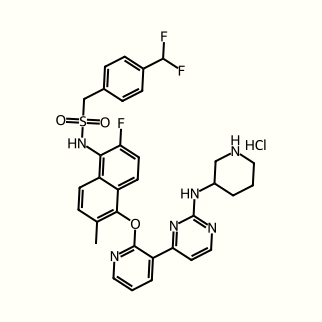 Cc1ccc2c(NS(=O)(=O)Cc3ccc(C(F)F)cc3)c(F)ccc2c1Oc1ncccc1-c1ccnc(NC2CCCNC2)n1.Cl